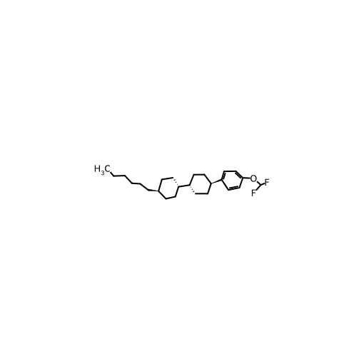 CCCCCC[C@H]1CC[C@H]([C@H]2CC[C@H](c3ccc(OC(F)F)cc3)CC2)CC1